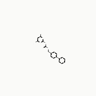 Cc1cc(C)nc(NC(=N)NCc2ccc(-c3ccccc3)cc2)n1